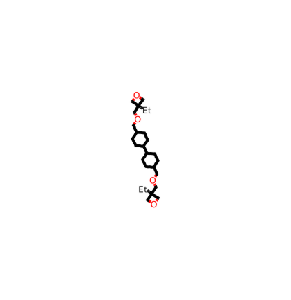 CCC1(COCC2CCC(C3CCC(COCC4(CC)COC4)CC3)CC2)COC1